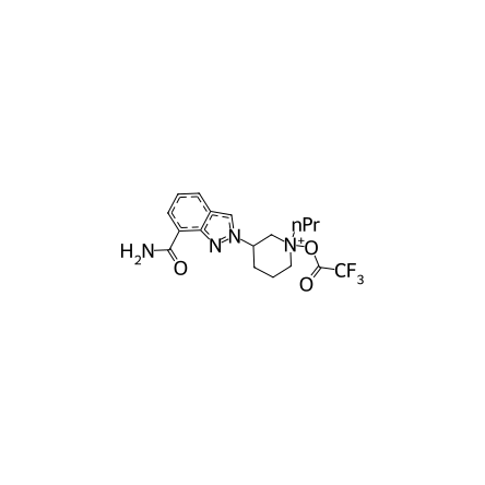 CCC[N+]1(OC(=O)C(F)(F)F)CCCC(n2cc3cccc(C(N)=O)c3n2)C1